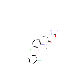 CN1C(=O)[C@H](NC(N)=O)Cc2ccc(Cl)c(Oc3ccccc3F)c21